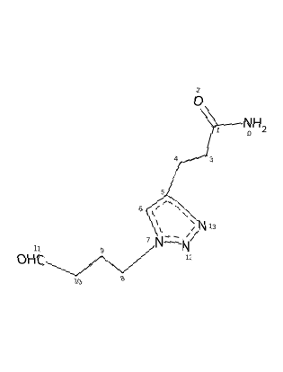 NC(=O)CCc1cn(CCCC=O)nn1